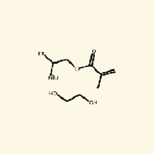 C=C(C)C(=O)OCC(CC)CCCC.OCCO